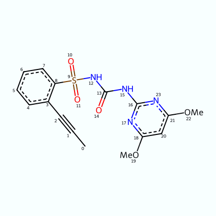 CC#Cc1ccccc1S(=O)(=O)NC(=O)Nc1nc(OC)cc(OC)n1